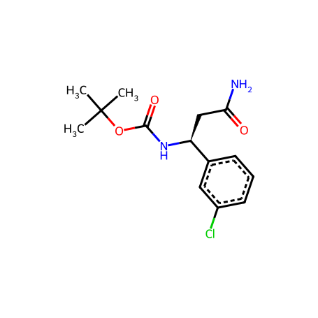 CC(C)(C)OC(=O)N[C@@H](CC(N)=O)c1cccc(Cl)c1